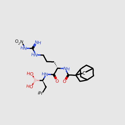 CC(C)C[C@H](NC(=O)[C@H](CCCNC(=N)N[N+](=O)[O-])NC(=O)C12CC3CC(CC1C3)C2)B(O)O